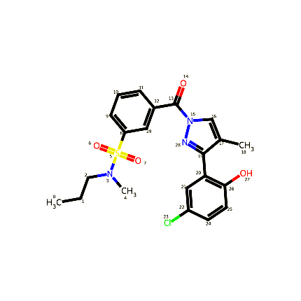 CCCN(C)S(=O)(=O)c1cccc(C(=O)n2cc(C)c(-c3cc(Cl)ccc3O)n2)c1